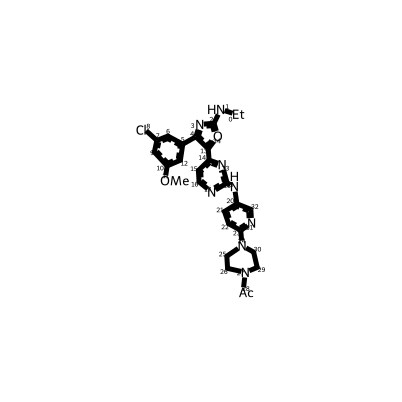 CCNc1nc(-c2cc(Cl)cc(OC)c2)c(-c2ccnc(Nc3ccc(N4CCN(C(C)=O)CC4)nc3)n2)o1